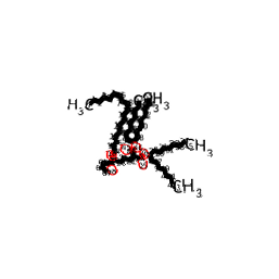 CCCCC/C=C\C/C=C\CCCCCCCCOC(CCCC(C(=O)OC(CCCCCCCC)CCCCCCCC)C(=O)OC(CCCCCCCC)CCCCCCCC)=C1CC=CO1